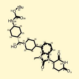 Cn1c(=O)n(C2CCC(=O)NC2=O)c2cccc(C3CCN(C(O)[C@H]4CC[C@H](NC(=O)OC(C)(C)C)CC4)CC3)c21